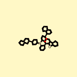 c1ccc(N(c2ccc(-c3ccc4ccccc4c3)cc2)c2ccc(-c3cccc4ccccc34)cc2)c(-c2cccc3c2oc2ccccc23)c1